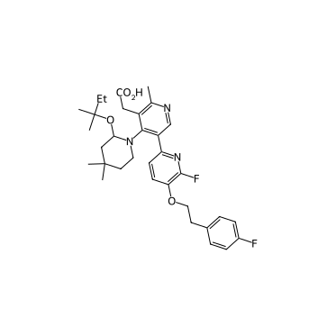 CCC(C)(C)OC1CC(C)(C)CCN1c1c(-c2ccc(OCCc3ccc(F)cc3)c(F)n2)cnc(C)c1CC(=O)O